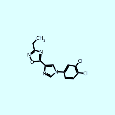 CCc1noc(-c2cn(-c3ccc(Cl)c(Cl)c3)cn2)n1